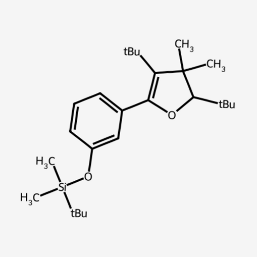 CC(C)(C)C1=C(c2cccc(O[Si](C)(C)C(C)(C)C)c2)OC(C(C)(C)C)C1(C)C